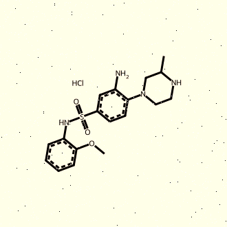 COc1ccccc1NS(=O)(=O)c1ccc(N2CCNC(C)C2)c(N)c1.Cl